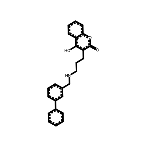 O=c1oc2ccccc2c(O)c1CCCNCc1cccc(-c2ccccc2)c1